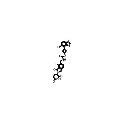 O=C1CC[C@H](N2Cc3ccc(CNC(=O)OC4CC(c5c(Cl)ccc6scnc56)C4)c(F)c3C2=O)C(=O)N1